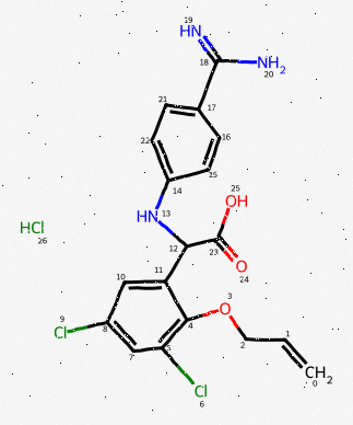 C=CCOc1c(Cl)cc(Cl)cc1C(Nc1ccc(C(=N)N)cc1)C(=O)O.Cl